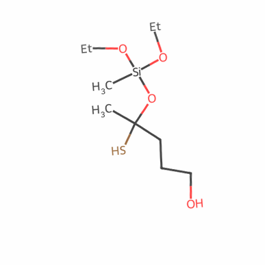 CCO[Si](C)(OCC)OC(C)(S)CCCO